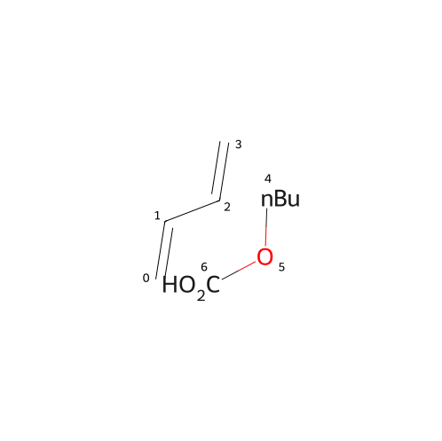 C=CC=C.CCCCOC(=O)O